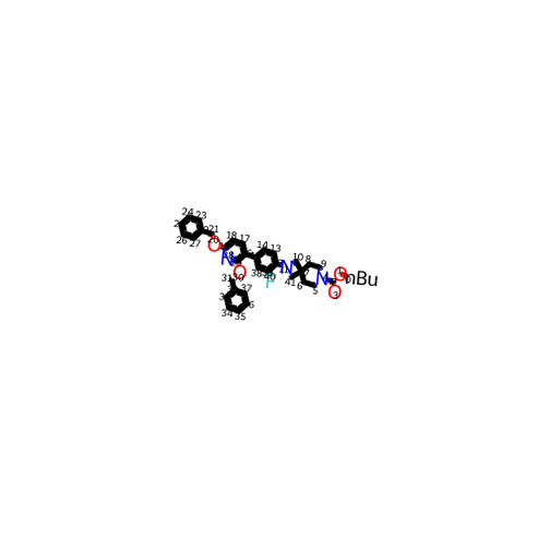 CCCCOC(=O)N1CCC2(CC1)CN(c1ccc(-c3ccc(OCc4ccccc4)nc3OCc3ccccc3)cc1F)C2